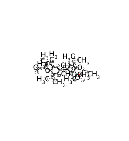 CCC(Oc1c(C(C)C)cc(C(C)(C)c2cc(C(C)C)c(OC(CC)C3CO3)c(C(C)C)c2)cc1C(C)C)C1CO1